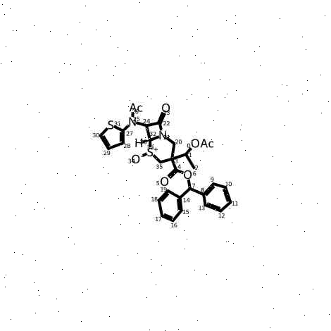 CC(=O)OC(C)C1(C(=O)OC(c2ccccc2)c2ccccc2)CN2C(=O)C(N(C(C)=O)c3cccs3)[C@H]2[S+]([O-])C1